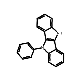 c1ccc(-n2c3ccccc3c3[nH]c4ccccc4c32)cc1